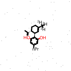 [2H]C([2H])([2H])C1=C[C@@H](c2c(O)cc(CCC)cc2O)[C@H](C(=C)C)CC1